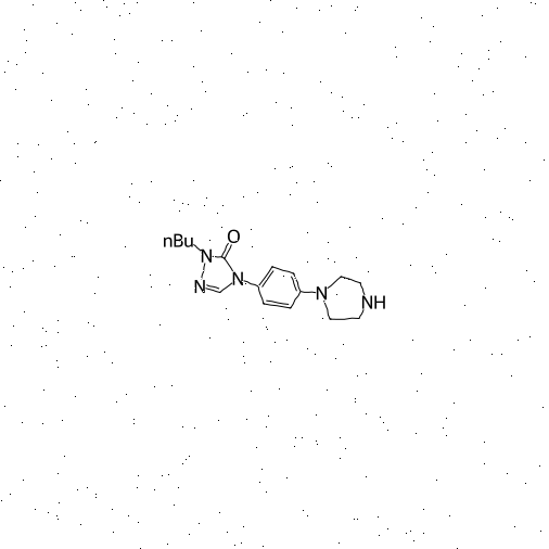 CCCCn1ncn(-c2ccc(N3CCNCC3)cc2)c1=O